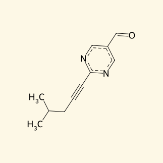 CC(C)CC#Cc1ncc(C=O)cn1